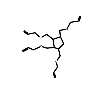 C=CCOCC1CC(COCC=C)C(COCC=C)C1COCC=C